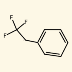 FC(F)(F)[CH]c1ccccc1